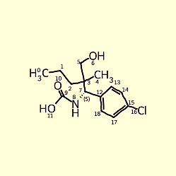 CCCC(C)(CO)[C@@H](NC(=O)O)c1ccc(Cl)cc1